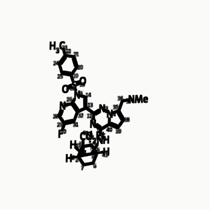 CCOC(=O)[C@H]1[C@H]2CC[C@H](CC2)[C@@H]1Nc1nc(-c2cn(S(=O)(=O)c3ccc(C)cc3)c3ncc(F)cc23)nn2c(CNC)ccc12